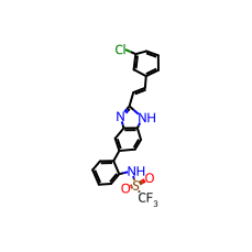 O=S(=O)(Nc1ccccc1-c1ccc2[nH]c(/C=C/c3cccc(Cl)c3)nc2c1)C(F)(F)F